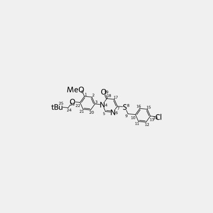 COc1cc(-n2cnc(SCc3ccc(Cl)cc3)cc2=O)ccc1OCC(C)(C)C